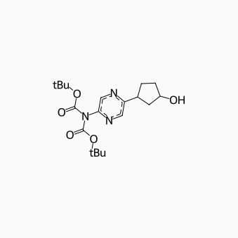 CC(C)(C)OC(=O)N(C(=O)OC(C)(C)C)c1cnc(C2CCC(O)C2)cn1